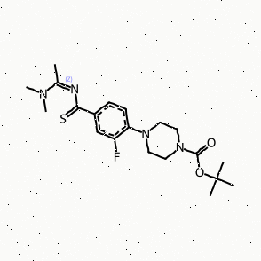 C/C(=N/C(=S)c1ccc(N2CCN(C(=O)OC(C)(C)C)CC2)c(F)c1)N(C)C